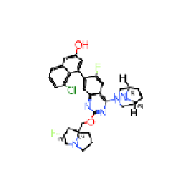 Oc1cc(-c2cc3nc(OC[C@@]45CCCN4C[C@H](F)C5)nc(N4C[C@H]5CC[C@@H](C4)N5)c3cc2F)c2c(Cl)cccc2c1